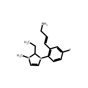 CCC1N(C)C=CN1c1ccc(F)cc1/C=C/CN